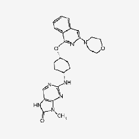 Cn1c(=O)[nH]c2cnc(N[C@H]3CC[C@@H](Oc4nc(N5CCOCC5)cc5ccccc45)CC3)nc21